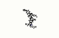 CC1=NN(C2CCC(C(C)(C)C)CC2)C(=O)C1N=Nc1ccc(/C=C(\C)C(=O)O)cc1O